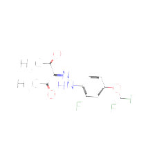 CC(=O)C(=NNc1ccc(OC(F)F)cc1F)C(C)=O